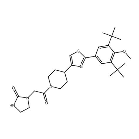 COc1c(C(C)(C)C)cc(-c2nc(C3CCN(C(=O)CN4CCNC4=O)CC3)cs2)cc1C(C)(C)C